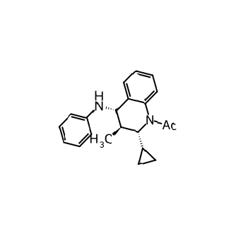 CC(=O)N1c2ccccc2[C@@H](Nc2ccccc2)[C@H](C)[C@H]1C1CC1